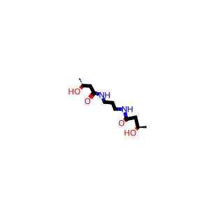 C[C@@H](O)CC(=O)NCCCNC(=O)C[C@@H](C)O